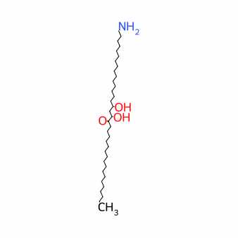 CCCCCCCCCCCCCCCCCC(=O)C(O)CC(O)CCCCCCCCCCCCCCCN